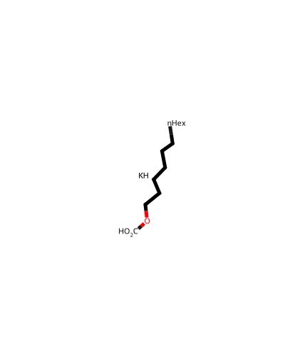 CCCCCCCCCCCCOC(=O)O.[KH]